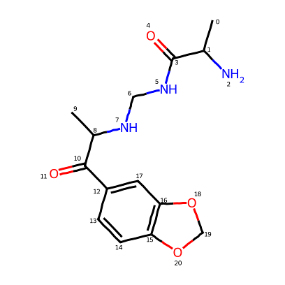 CC(N)C(=O)NCNC(C)C(=O)c1ccc2c(c1)OCO2